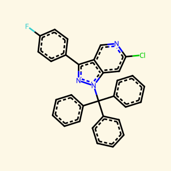 Fc1ccc(-c2nn(C(c3ccccc3)(c3ccccc3)c3ccccc3)c3cc(Cl)ncc23)cc1